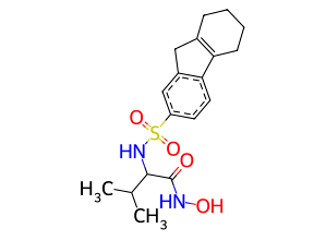 CC(C)C(NS(=O)(=O)c1ccc2c(c1)CC1=C2CCCC1)C(=O)NO